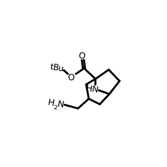 CC(C)(C)OC(=O)C12CCC(CC(CN)C1)N2